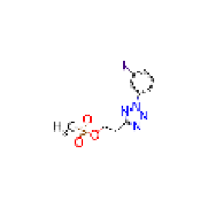 CS(=O)(=O)OCCc1nnn(-c2cccc(I)c2)n1